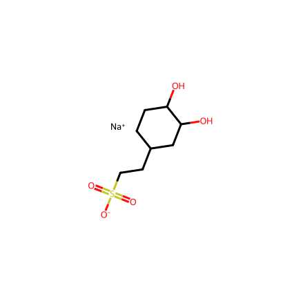 O=S(=O)([O-])CCC1CCC(O)C(O)C1.[Na+]